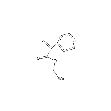 C=C(C(=O)OCC(C)(C)C)c1ccccc1